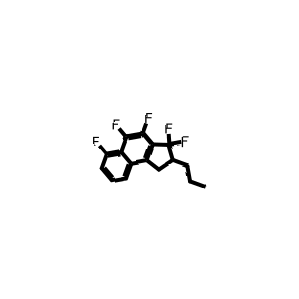 CCCC1Cc2c(c(F)c(F)c3c(F)cccc23)C1(F)F